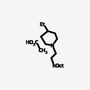 CC(=O)O.CCCCCCCCCCN1CCC(CC)CC1